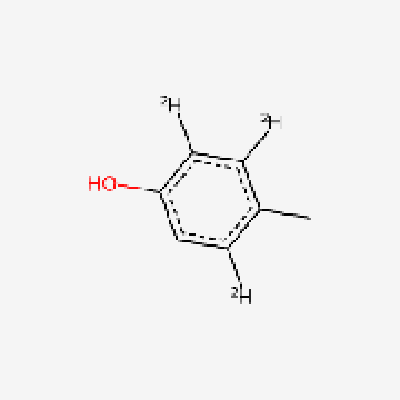 [2H]c1cc(O)c([2H])c([2H])c1C